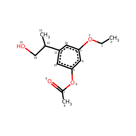 CCOc1cc(OC(C)=O)cc([C](C)CO)c1